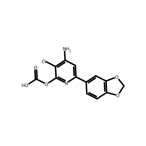 Nc1cc(-c2ccc3c(c2)OCO3)nc(OC(=O)O)c1Cl